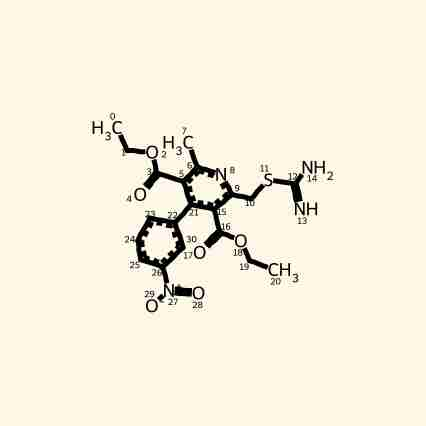 CCOC(=O)c1c(C)nc(CSC(=N)N)c(C(=O)OCC)c1-c1cccc([N+](=O)[O-])c1